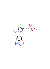 CCOC(=O)CCc1ccc(N(C)Cc2ccc3c(c2)NCCO3)cc1F